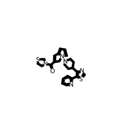 O=C(C1=CC2=CC=C[N@@+]2(N2CCC(c3ncsc3-c3ccccn3)CC2)C1)N1CCSC1